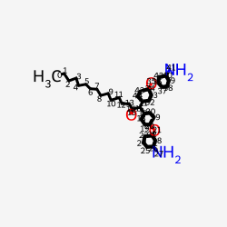 CCCCCCCCCCCCCCC(=O)C(c1ccc(Oc2cccc(N)c2)cc1)c1ccc(Oc2cccc(N)c2)cc1